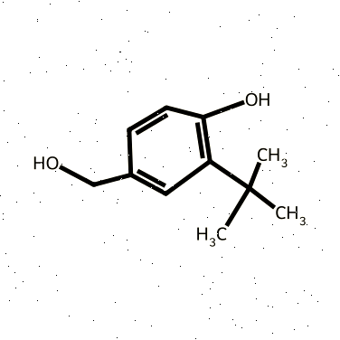 CC(C)(C)c1cc(CO)ccc1O